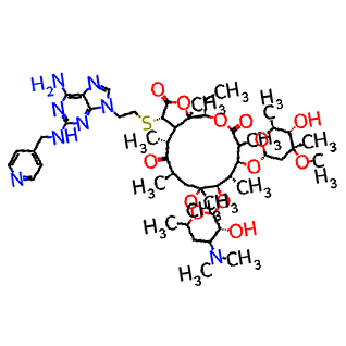 CC[C@H]1OC(=O)C(C)[C@@H](O[C@H]2C[C@@](C)(OC)[C@@H](O)[C@H](C)O2)[C@H](C)[C@@H](O[C@@H]2OC(C)C[C@H](N(C)C)[C@H]2O)C(C)(OC)C[C@@H](C)C(=O)[C@H](C)C2[C@H](SCCn3cnc4c(N)nc(NCc5ccncc5)nc43)C(=O)O[C@@]21C